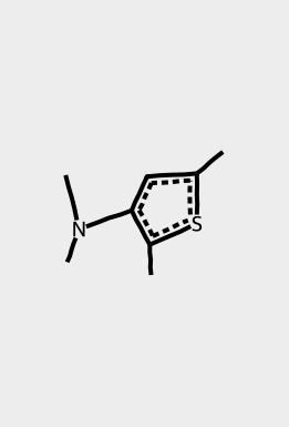 Cc1cc(N(C)C)c(C)s1